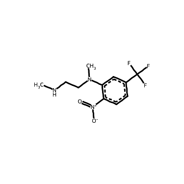 CNCCN(C)c1cc(C(F)(F)F)ccc1[N+](=O)[O-]